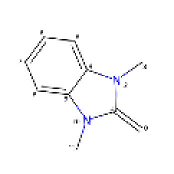 C=C1N(C)c2ccccc2N1C